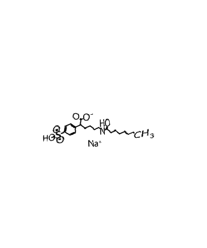 CCCCCCCC(=O)NCCCCC(C(=O)[O-])c1ccc(S(=O)(=O)O)cc1.[Na+]